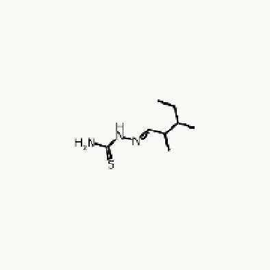 CCC(C)C(C)C=NNC(N)=S